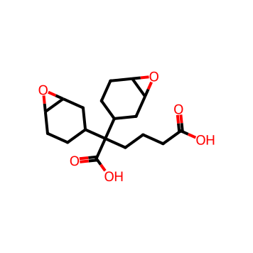 O=C(O)CCCC(C(=O)O)(C1CCC2OC2C1)C1CCC2OC2C1